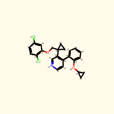 Clc1ccc(Cl)c(OCC2(c3cnccc3-c3ccccc3OC3CC3)CC2)c1